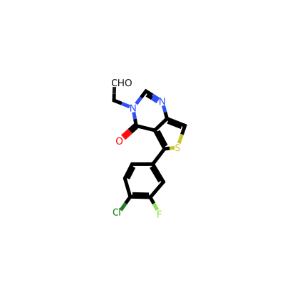 O=CCn1cnc2csc(-c3ccc(Cl)c(F)c3)c2c1=O